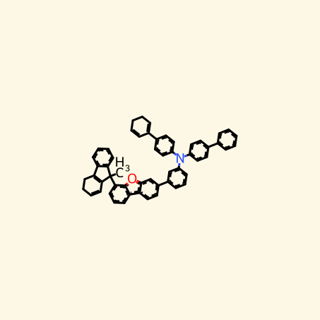 CC1(c2cccc3c2oc2cc(-c4cccc(N(c5ccc(C6=CCCC=C6)cc5)c5ccc(-c6ccccc6)cc5)c4)ccc23)C2=C(CCC=C2)c2ccccc21